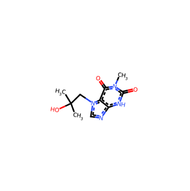 Cn1c(=O)[nH]c2ncn(CC(C)(C)O)c2c1=O